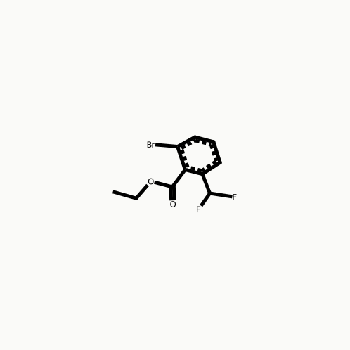 CCOC(=O)c1c(Br)cccc1C(F)F